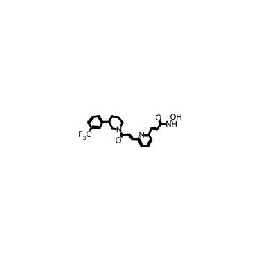 O=C(C=Cc1cccc(C=CC(=O)N2CCCC(c3cccc(C(F)(F)F)c3)C2)n1)NO